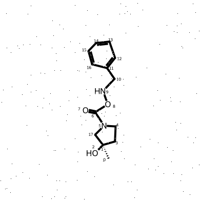 C[C@@]1(O)CCN(C(=O)ONCc2ccccc2)C1